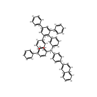 c1ccc(-c2ccc(N(c3ccc(-c4ccc5ccccc5c4)cc3)c3cccc(-c4c(-c5ccccc5)cc(-c5ccccc5)cc4-c4ccccc4)c3)cc2)cc1